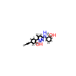 CC#Cc1ccc(-c2nnc(N[C@H]3CCCC[C@@]3(C)O)cc2C)c(O)c1